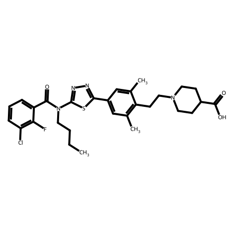 CCCCN(C(=O)c1cccc(Cl)c1F)c1nnc(-c2cc(C)c(CCN3CCC(C(=O)O)CC3)c(C)c2)s1